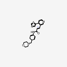 O=C(/C=C/c1cnccc1-c1cncs1)NC1=CCC(CN2CCOCC2)C=C1